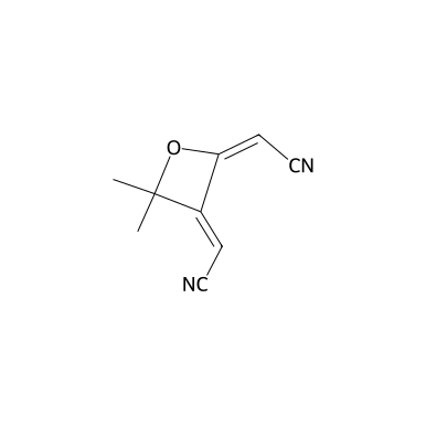 CC1(C)OC(=CC#N)C1=CC#N